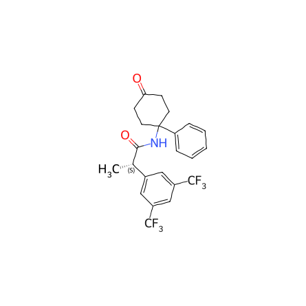 C[C@H](C(=O)NC1(c2ccccc2)CCC(=O)CC1)c1cc(C(F)(F)F)cc(C(F)(F)F)c1